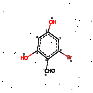 O=Cc1c(O)cc(O)cc1Br